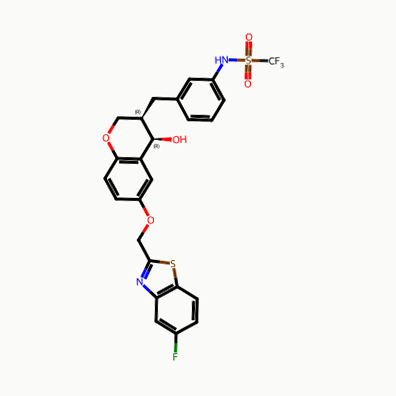 O=S(=O)(Nc1cccc(C[C@@H]2COc3ccc(OCc4nc5cc(F)ccc5s4)cc3[C@@H]2O)c1)C(F)(F)F